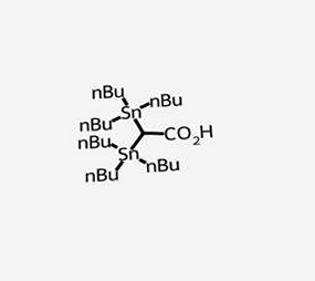 CCC[CH2][Sn]([CH2]CCC)([CH2]CCC)[CH](C(=O)O)[Sn]([CH2]CCC)([CH2]CCC)[CH2]CCC